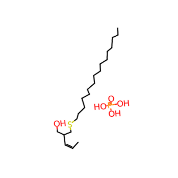 C/C=C\C(CO)CSCCCCCCCCCCCCCCCC.O=P(O)(O)O